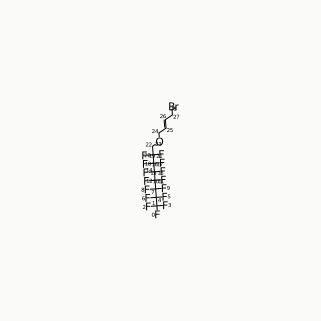 FC(F)(F)C(F)(F)C(F)(F)C(F)(F)C(F)(F)C(F)(F)C(F)(F)COCC=CCBr